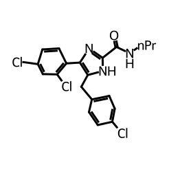 CCCNC(=O)c1nc(-c2ccc(Cl)cc2Cl)c(Cc2ccc(Cl)cc2)[nH]1